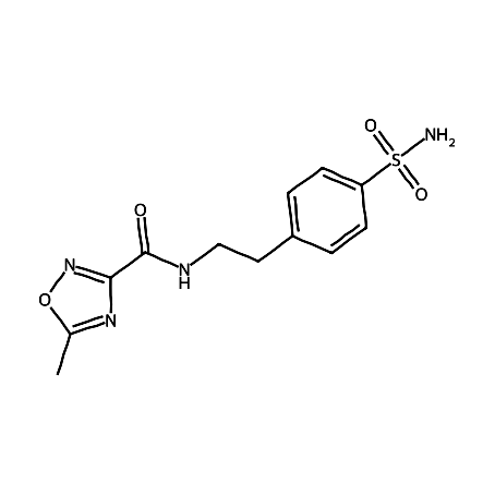 Cc1nc(C(=O)NCCc2ccc(S(N)(=O)=O)cc2)no1